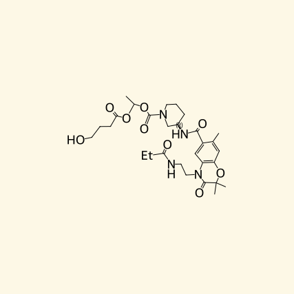 CCC(=O)NCCN1C(=O)C(C)(C)Oc2cc(C)c(C(=O)N[C@@H]3CCCN(C(=O)OC(C)OC(=O)CCCO)C3)cc21